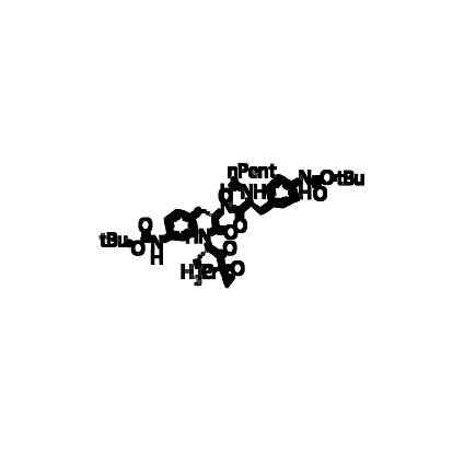 CCCCCC(=O)N[C@@H](Cc1ccc(NC(=O)OC(C)(C)C)cc1)C(=O)N[C@@H](Cc1ccc(NC(=O)OC(C)(C)C)cc1)C(=O)N[C@@H](CC(C)C)C(=O)[C@@]1(C)CO1